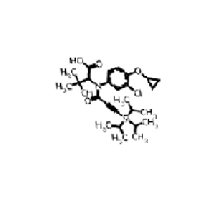 CC(C)[Si](C#CC(=O)N(c1ccc(OC2CC2)c(Cl)c1)C(C(=O)O)C(C)(C)C)(C(C)C)C(C)C